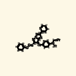 CCN(CC(C)C)c1ccc(/N=C2/C(SOOc3ccccc3)=Nn3nc(-c4ccccn4)nc32)nc1